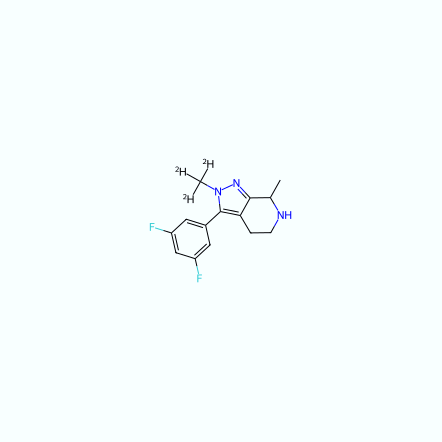 [2H]C([2H])([2H])n1nc2c(c1-c1cc(F)cc(F)c1)CCNC2C